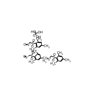 Cc1cc(C)c(S(=O)(=O)C[S+]=O)c(C)c1.Cc1cc(C)c(S(=O)(=O)C[S+]=O)c(C)c1.Cc1cc(C)c(S(=O)(=O)C[S+]=O)c(C)c1.O=P(O)(O)O